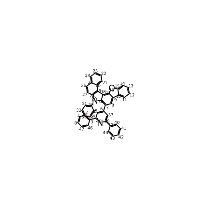 c1ccc(-c2cc(-c3cc4c5ccccc5oc4c4c5c6ccccc6ccc5n(-c5ccccc5)c34)cc(-c3ccccc3)n2)cc1